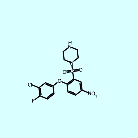 O=[N+]([O-])c1ccc(Oc2ccc(F)c(Cl)c2)c(S(=O)(=O)N2CCNCC2)c1